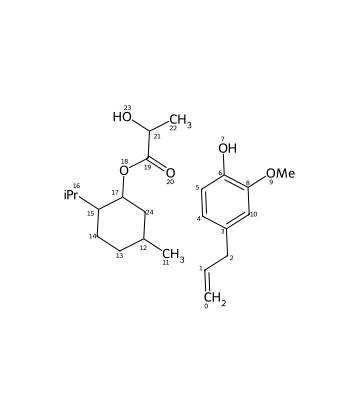 C=CCc1ccc(O)c(OC)c1.CC1CCC(C(C)C)C(OC(=O)C(C)O)C1